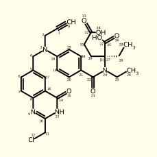 C#CCN(Cc1ccc2nc(CCl)[nH]c(=O)c2c1)c1ccc(C(=O)N(CC)[C@@](CC)(CCC(=O)O)C(=O)O)cc1